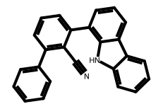 N#Cc1c(-c2ccccc2)cccc1-c1cccc2c1[nH]c1ccccc12